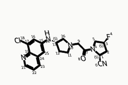 N#C[C@@H]1C[C@H](F)CN1C(=O)CN1CC[C@H](Nc2cc(Cl)c3ncccc3c2)C1